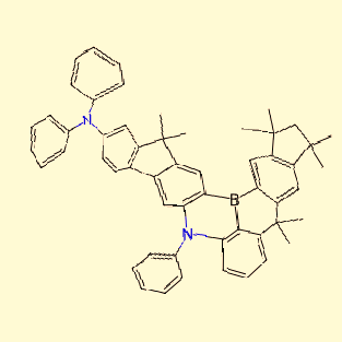 CC1(C)CC(C)(C)c2cc3c(cc21)B1c2cc4c(cc2N(c2ccccc2)c2cccc(c21)C3(C)C)-c1ccc(N(c2ccccc2)c2ccccc2)cc1C4(C)C